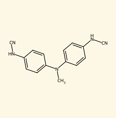 CN(c1ccc(NC#N)cc1)c1ccc(NC#N)cc1